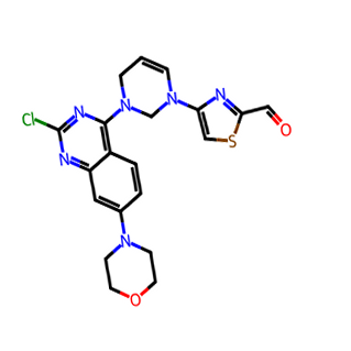 O=Cc1nc(N2C=CCN(c3nc(Cl)nc4cc(N5CCOCC5)ccc34)C2)cs1